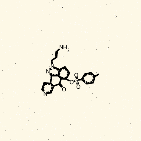 Cc1ccc(S(=O)(=O)Oc2ccc3c4c(nn3CC=CN)-c3ccncc3C(=O)c24)cc1